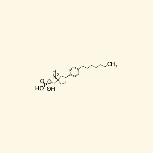 CCCCCCCc1ccc([C@H]2CC[C@](N)(COP(=O)(O)O)C2)cc1